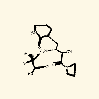 N[C@@H](C[C@@H]1CCCNC1=O)C(O)C(=O)N1CCC1.O=C(O)C(F)(F)F